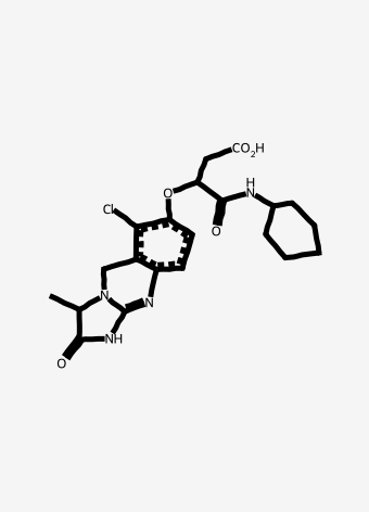 CC1C(=O)NC2=Nc3ccc(OC(CC(=O)O)C(=O)NC4CCCCC4)c(Cl)c3CN21